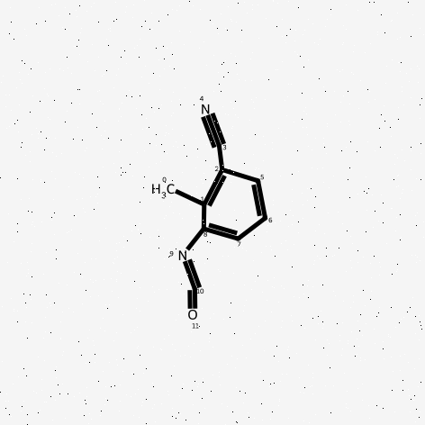 Cc1c(C#N)cccc1N=C=O